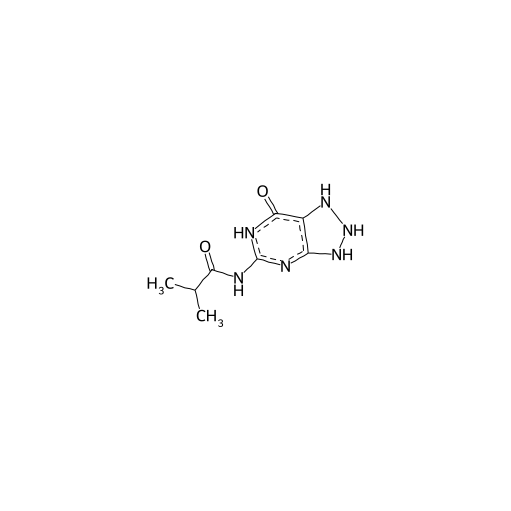 CC(C)C(=O)Nc1nc2c(c(=O)[nH]1)NNN2